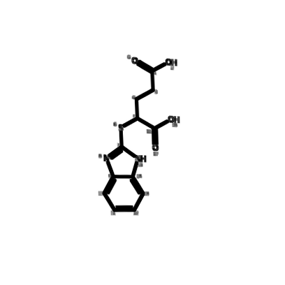 O=C(O)CCC(Sc1nc2ccccc2[nH]1)C(=O)O